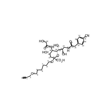 C#CCOCCCCCCO[C@]1(C(=O)O)C[C@H](O)[C@@H](NC(=O)CO)[C@H]([C@H](O)[C@H](O)CNC(=O)Cc2ccc(C#N)cc2)O1